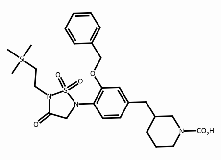 C[Si](C)(C)CCN1C(=O)CN(c2ccc(CC3CCCN(C(=O)O)C3)cc2OCc2ccccc2)S1(=O)=O